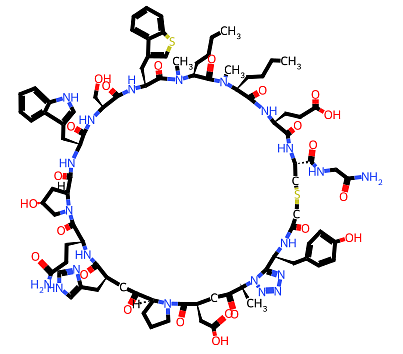 CCCC[C@H]1C(=O)N(C)[C@@H](CCCC)C(=O)N[C@@H](CCC(=O)O)C(=O)N[C@H](C(=O)NCC(N)=O)CSCC(=O)N[C@@H](Cc2ccc(O)cc2)c2nnnn2[C@@H](C)C(=O)C[C@@H](CC(=O)O)C(=O)N2CCC[C@H]2C(=O)C[C@@H](Cc2c[nH]cn2)C(=O)N[C@@H](CCC(N)=O)C(=O)N2C[C@H](O)C[C@H]2C(=O)N[C@@H](Cc2c[nH]c3ccccc23)C(=O)N[C@@H](CO)C(=O)N[C@@H](Cc2csc3ccccc23)C(=O)N1C